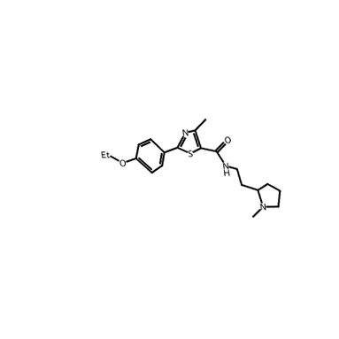 CCOc1ccc(-c2nc(C)c(C(=O)NCCC3CCCN3C)s2)cc1